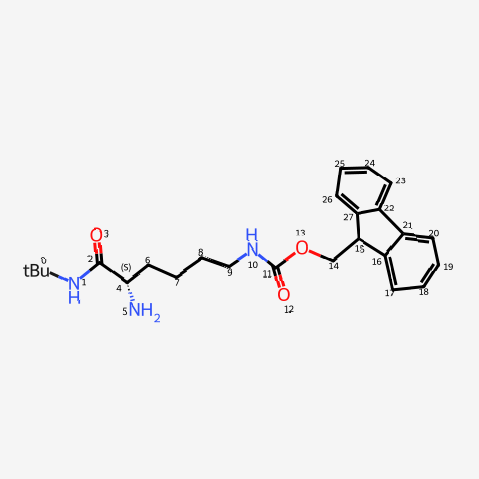 CC(C)(C)NC(=O)[C@@H](N)CCCCNC(=O)OCC1c2ccccc2-c2ccccc21